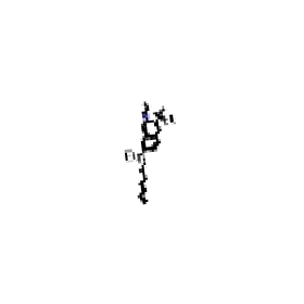 C=C/C=C1/Cc2cc(N(CC)CCCCCC=C)ccc2C=C1C(C)(C)CC